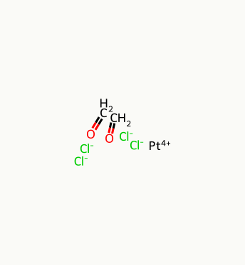 C=O.C=O.[Cl-].[Cl-].[Cl-].[Cl-].[Pt+4]